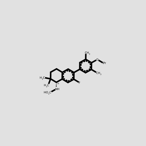 Cc1cc(-c2cc3c(cc2F)[C@H](NC(=O)O)C(C)(C)CC3)cc(C)c1OC(C)C